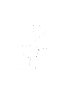 CN(C(=O)c1cnc(S)n1C)c1cccnc1